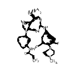 C=CC(=O)Nc1cccc(-n2cnc3c(N)nc(Nc4cc(F)c(N5CCN(C)CC5)c(F)c4)nc32)c1